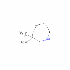 CC1(C)[CH]CCNC1